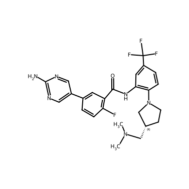 CN(C)C[C@H]1CCN(c2ccc(C(F)(F)F)cc2NC(=O)c2cc(-c3cnc(N)nc3)ccc2F)C1